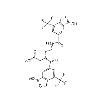 O=C(O)CN(CCNC(=O)c1cc2c(c(C(F)(F)F)c1)COB2O)C(=O)c1cc2c(c(C(F)(F)F)c1)COB2O